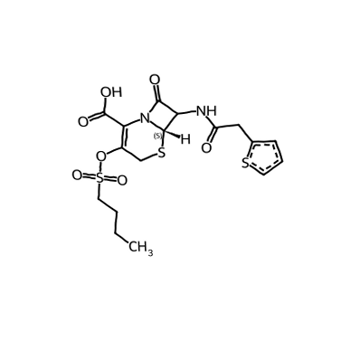 CCCCS(=O)(=O)OC1=C(C(=O)O)N2C(=O)C(NC(=O)Cc3cccs3)[C@@H]2SC1